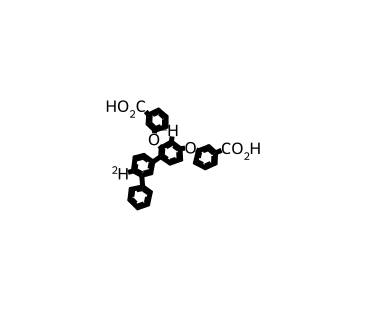 [2H]c1ccc(-c2ccc(Oc3cccc(C(=O)O)c3)c([2H])c2Oc2cccc(C(=O)O)c2)cc1-c1ccccc1